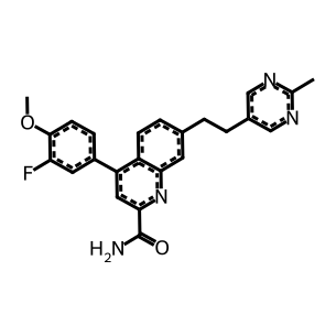 COc1ccc(-c2cc(C(N)=O)nc3cc(CCc4cnc(C)nc4)ccc23)cc1F